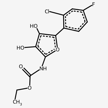 CCOC(=O)Nc1oc(-c2ccc(F)cc2Cl)c(O)c1O